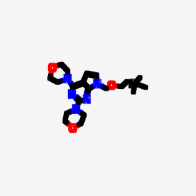 C[Si](C)(C)CCOCn1ccc2c(N3CCOCC3)nc(N3CCOCC3)nc21